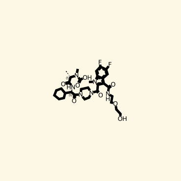 C[C@@H](C(=O)N[C@H](C(=O)N1CCN(C(=O)c2c(C(=O)NCCOCCO)c3cc(F)c(F)cc3n2C)CC1)C1CCCCC1)N(C)C(=O)O